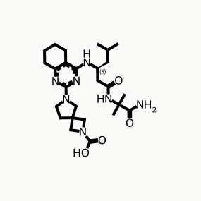 CC(C)C[C@@H](CC(=O)NC(C)(C)C(N)=O)Nc1nc(N2CCC3(CN(C(=O)O)C3)C2)nc2c1CCCC2